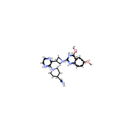 COc1ccc2nc(N3CC(c4nccnc4N4CCC(C#N)CC4)C3)nc(OC)c2c1